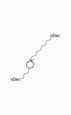 CCCCCCCCCCCCCCCCCC[n+]1ccc(CCCCCCCCCCCCC)cc1